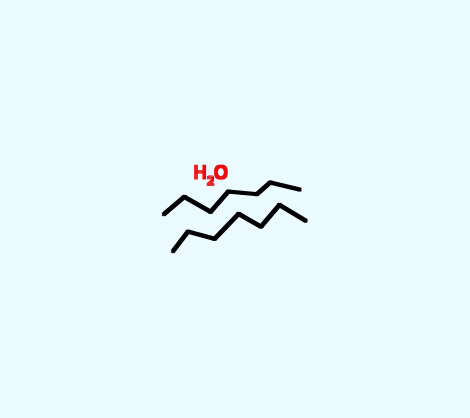 CCCCCCC.CCCCCCC.O